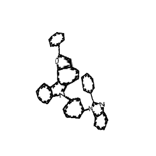 c1ccc(-c2cc3ccc4c(c5ccccc5n4-c4cccc(-n5c(-c6ccccc6)nc6ccccc65)c4)c3o2)cc1